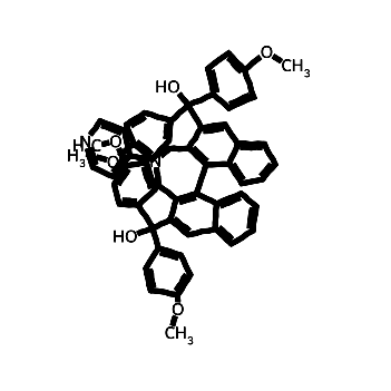 COc1ccc(C(O)(c2ccc(OC)cc2)c2cc3ccccc3c3c2CN(c2ccncc2)Cc2c(C(O)(c4ccc(OC)cc4)c4ccc(OC)cc4)cc4ccccc4c2-3)cc1